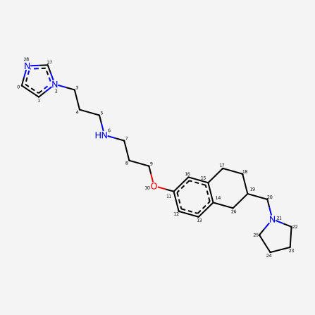 c1cn(CCCNCCCOc2ccc3c(c2)CCC(CN2CCCC2)C3)cn1